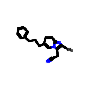 Cc1nc2ccc(CCCc3ccccc3)cn2c1CC#N